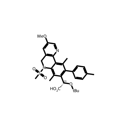 COc1cnc2c(c1)CN(S(C)(=O)=O)c1c(C)c([C@H](OC(C)(C)C)C(=O)O)c(-c3ccc(C)cc3)c(C)c1-2